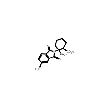 Cc1ccc2c(c1)C(=O)N(C1(C(=O)O)CCCCC1C(=O)O)C2=O